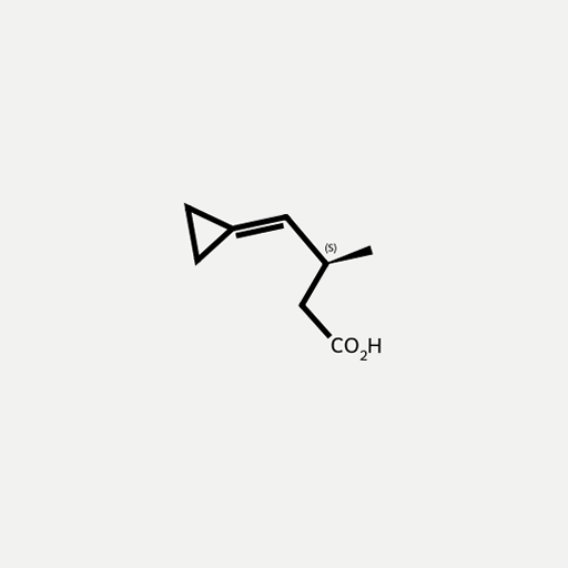 C[C@H](C=C1CC1)CC(=O)O